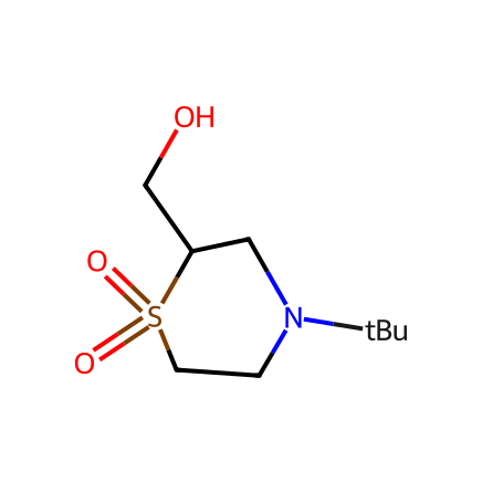 CC(C)(C)N1CCS(=O)(=O)C(CO)C1